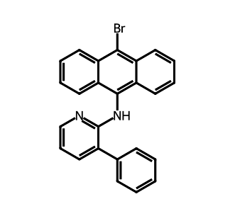 Brc1c2ccccc2c(Nc2ncccc2-c2ccccc2)c2ccccc12